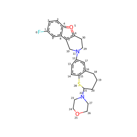 Fc1ccc2oc3c(c2c1)CN(c1ccc2c(c1)CCCC(N1CCOCC1)S2)CC3